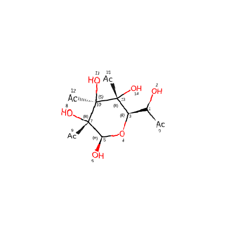 CC(=O)C(O)[C@H]1O[C@@H](O)[C@@](O)(C(C)=O)[C@](O)(C(C)=O)[C@@]1(O)C(C)=O